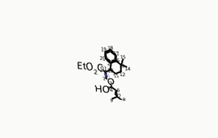 CCOC(=O)/C(=C/OC(O)C=C(C)C)C1CCC(C)(C)c2ccccc21